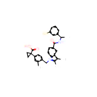 Cc1cc(C2(C(=O)O)CC2)ccc1Cn1c(C)c(C)c2cc(C(=O)NC(C)c3cccc(Br)c3)ccc21